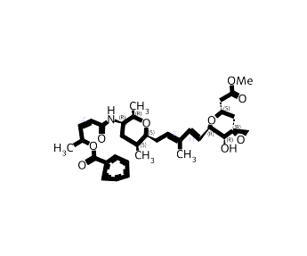 COC(=O)C[C@@H]1C[C@@]2(CO2)[C@H](O)[C@@H](/C=C/C(C)=C/C[C@@H]2O[C@H](C)[C@H](NC(=O)/C=C\C(C)OC(=O)c3ccccc3)C[C@@H]2C)O1